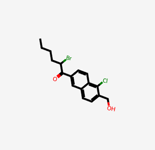 CCCCC(Br)C(=O)c1ccc2c(Cl)c(CO)ccc2c1